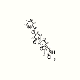 C[C@H]1Cc2oc3cc(-n4ccc(OCc5ccccn5)cc4=O)ccc3c2CN1